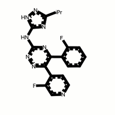 CC(C)c1n[nH]c(Nc2nnc(-c3ccncc3F)c(-c3ccccc3F)n2)n1